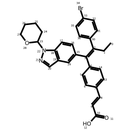 CC/C(=C(\c1ccc(C=CC(=O)O)cc1)c1ccc2c(cnn2C2CCCCO2)c1)c1ccc(Br)cc1